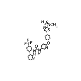 CN(C)c1ncc(-c2ccc(Oc3ccc(NC(=O)Nc4cc(C(F)(F)F)ccc4-c4cccnc4)cn3)cc2)s1